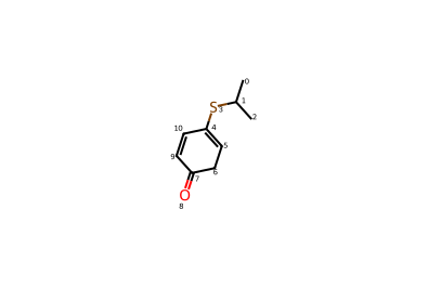 CC(C)SC1=CCC(=O)C=C1